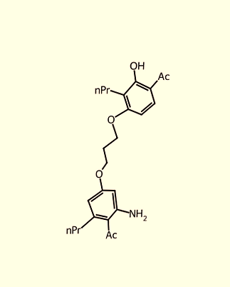 CCCc1cc(OCCCOc2ccc(C(C)=O)c(O)c2CCC)cc(N)c1C(C)=O